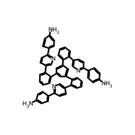 Nc1ccc(-c2ccc(-c3ccccc3-c3cc(-c4ccccc4-c4ccc(-c5ccc(N)cc5)nc4)cc(-c4ccccc4-c4ccc(-c5ccc(N)cc5)nc4)c3)cn2)cc1